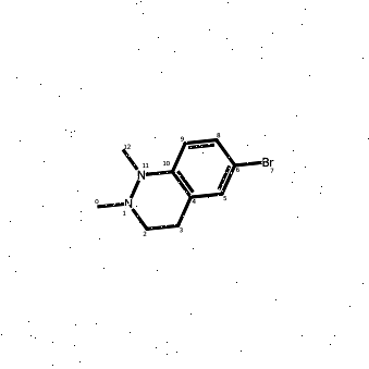 CN1CCc2cc(Br)ccc2N1C